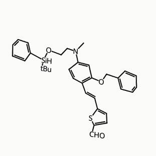 CN(CCO[SiH](c1ccccc1)C(C)(C)C)c1ccc(/C=C/c2ccc(C=O)s2)c(OCc2ccccc2)c1